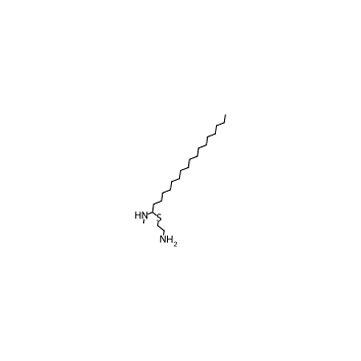 CCCCCCCCCCCCCCCCCC(NC)SCCN